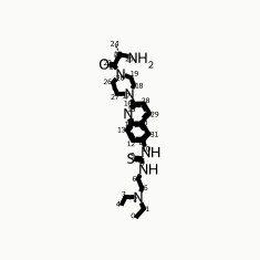 CCN(CC)CCNC(=S)Nc1ccc2nc(N3CCN(C(=O)[C@H](C)N)CC3)ccc2c1